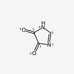 O=C1N=[C]NC1=O